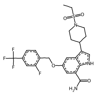 CCS(=O)(=O)N1CCC(c2c[nH]c3c(C(N)=O)cc(OCc4ccc(C(F)(F)F)cc4F)cc23)CC1